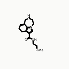 COCCNC(=O)c1cn2c3c1CCC=C3CNCC2